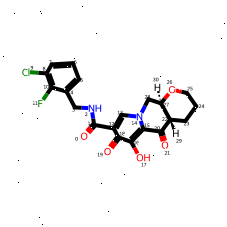 O=C(NCc1cccc(Cl)c1F)c1cn2c(c(O)c1=O)C(=O)[C@H]1CCCO[C@@H]1C2